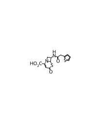 O=C(Cc1cccs1)NC1CN2C(C(=O)O)=CC(=O)SC12